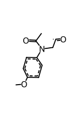 COc1ccc(N(C[C]=O)C(C)=O)cc1